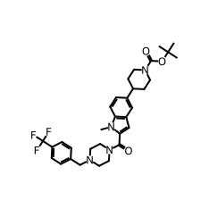 Cn1c(C(=O)N2CCN(Cc3ccc(C(F)(F)F)cc3)CC2)cc2cc(C3CCN(C(=O)OC(C)(C)C)CC3)ccc21